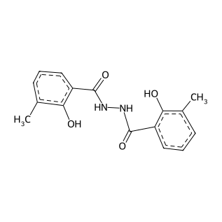 Cc1cccc(C(=O)NNC(=O)c2cccc(C)c2O)c1O